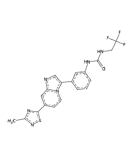 Cc1nsc(-c2ccn3c(-c4cccc(NC(=O)NCC(F)(F)F)c4)cnc3c2)n1